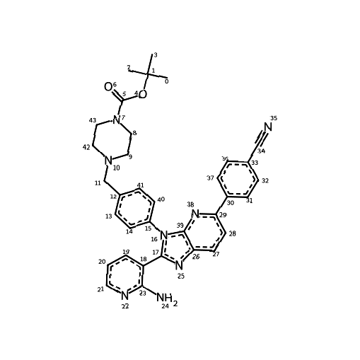 CC(C)(C)OC(=O)N1CCN(Cc2ccc(-n3c(-c4cccnc4N)nc4ccc(-c5ccc(C#N)cc5)nc43)cc2)CC1